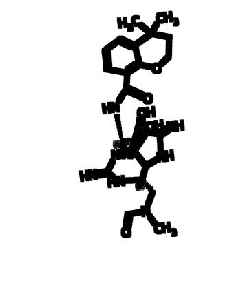 CN(C=O)C[C@@H]1NC(=N)N2C[C@H](NC(=O)c3cccc4c3OCCC4(C)C)C(O)(O)[C@@]23NC(=N)NC13